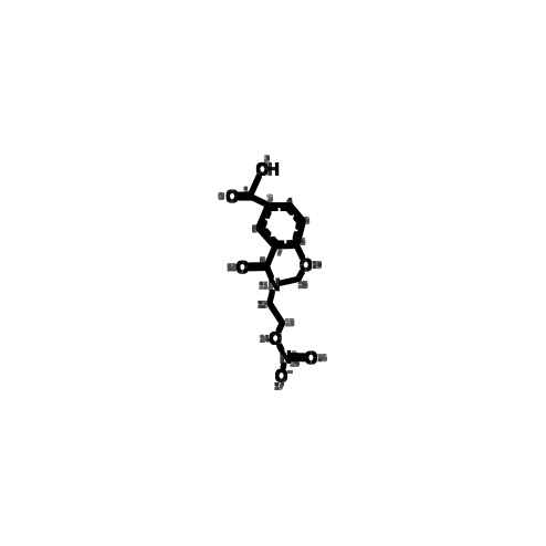 O=C(O)c1ccc2c(c1)C(=O)N(CCO[N+](=O)[O-])CO2